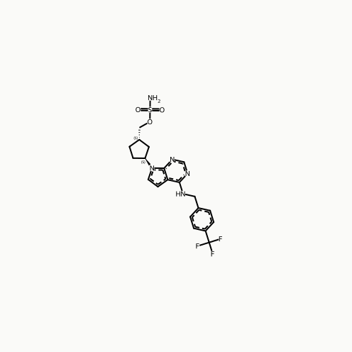 NS(=O)(=O)OC[C@H]1CC[C@H](n2ccc3c(NCc4ccc(C(F)(F)F)cc4)ncnc32)C1